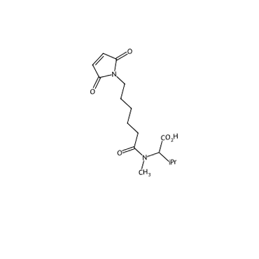 CC(C)C(C(=O)O)N(C)C(=O)CCCCCN1C(=O)C=CC1=O